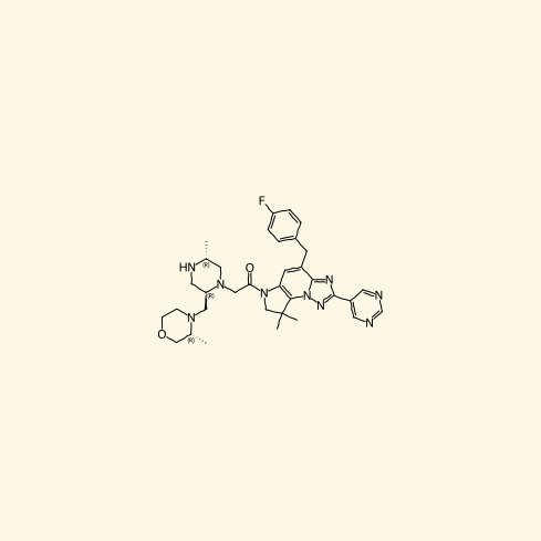 C[C@@H]1CN(CC(=O)N2CC(C)(C)c3c2cc(Cc2ccc(F)cc2)c2nc(-c4cncnc4)nn32)[C@@H](CN2CCOC[C@H]2C)CN1